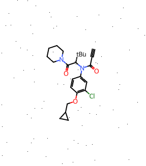 C#CC(=O)N(c1ccc(OCC2CC2)c(Cl)c1)C(C(=O)N1CCCCC1)C(C)(C)C